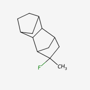 CC1(F)CC2CC1C1C3CCC(C3)C21